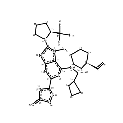 C=C[C@H]1CC[C@H](Cn2c(N3CCC[C@H]3C(F)(F)F)nc3nc(-c4noc(=O)[nH]4)nc(N[C@H](C)C4CCC4)c32)CC1